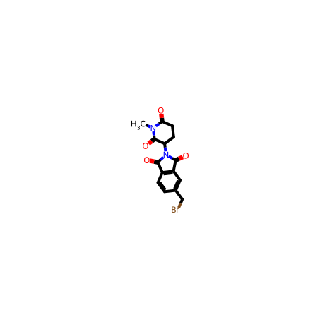 CN1C(=O)CCC(N2C(=O)c3ccc(CBr)cc3C2=O)C1=O